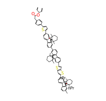 C=CC(C=C)OC(=O)Cc1ccc(-c2ccc(-c3ccc4c(c3)C3(c5cc(-c6ccc7c(c6)C6(c8cc(-c9cc%10sc(-c%11ccc%12c(c%11)C%11(c%13cc(C)ccc%13-%12)C%12(CCC)CCCC%11(CCC)CCC%12)cc%10s9)ccc8-7)C7(C)CCCC6(C)CCC7)ccc5-4)C4(C)CCCC3(C)CCC4)s2)cc1